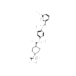 O=C(O)NC1CCC(C(=O)Nc2ccc(NC(=O)c3cccc(Br)n3)cc2)CC1